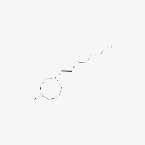 CN1CCCN(CCOCCCO)CC1